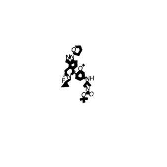 COc1cc(NC2CN(C(=O)OC(C)(C)C)C2)ccc1[C@@H]1c2ccc3c(cnn3C3CCCCO3)c2C[C@@H](C)N1CC1(F)CC1